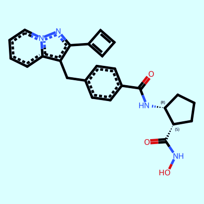 O=C(N[C@@H]1CCC[C@@H]1C(=O)NO)c1ccc(Cc2c(C3=CC=C3)nn3ccccc23)cc1